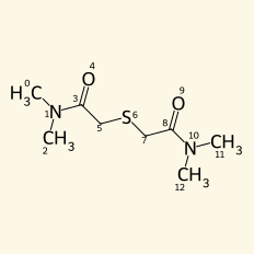 CN(C)C(=O)CSCC(=O)N(C)C